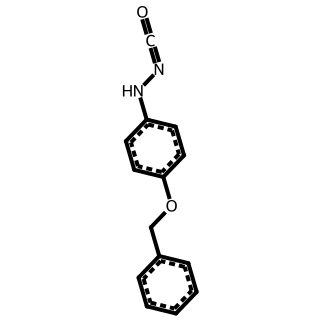 O=C=NNc1ccc(OCc2ccccc2)cc1